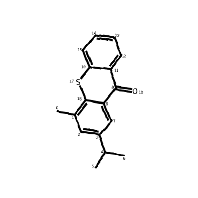 Cc1cc(C(C)C)cc2c(=O)c3ccccc3sc12